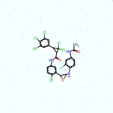 CC(=O)Nc1ccc(NC2OC2c2cc(NC(=O)C3C(c4cc(Cl)c(Cl)c(Cl)c4)C3(Cl)Cl)ccc2Cl)c(F)c1